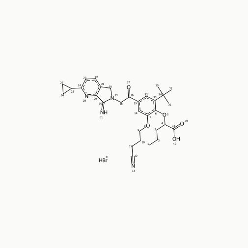 Br.CCCC(Oc1c(OCCCC#N)cc(C(=O)CN2Cc3ccc(C4CC4)nc3C2=N)cc1C(C)(C)C)C(=O)O